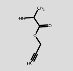 C#CCOC(=O)C(C)[NH]